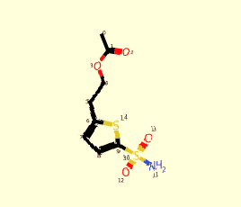 CC(=O)OCCc1ccc(S(N)(=O)=O)s1